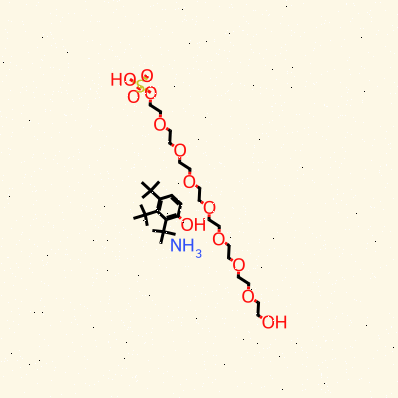 CC(C)(C)c1ccc(O)c(C(C)(C)C)c1C(C)(C)C.N.O=S(=O)(O)OCCOCCOCCOCCOCCOCCOCCOCCO